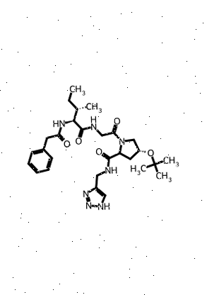 CC[C@H](C)[C@H](NC(=O)Cc1ccccc1)C(=O)NCC(=O)N1C[C@H](OC(C)(C)C)CC1C(=O)NCc1c[nH]nn1